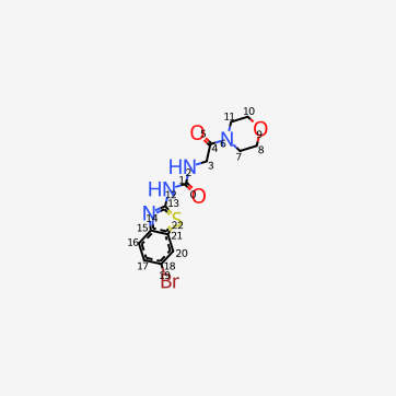 O=C(NCC(=O)N1CCOCC1)Nc1nc2ccc(Br)cc2s1